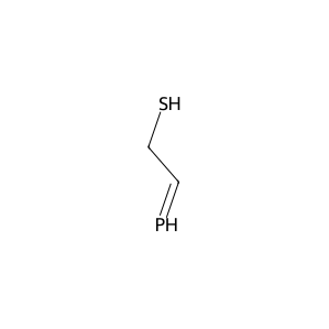 P=CCS